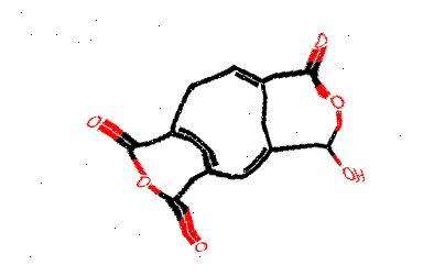 O=C1OC(O)C2=CC3=C(CC=C12)C(=O)OC3=O